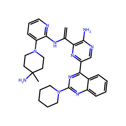 C=C(Nc1ncccc1N1CCC(C)(N)CC1)c1nc(-c2nc(N3CCCCC3)nc3ccccc23)cnc1N